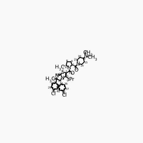 CC(C)C1=C(C(=O)N2[C@H](C)CC[C@H]2C(=O)N2CCC(N(C)C)CC2)SC2=N[C@@](C)(c3ccc(Cl)cc3)[C@@H](c3ccc(Cl)cc3)N21